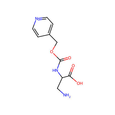 NCC(NC(=O)OCc1ccncc1)C(=O)O